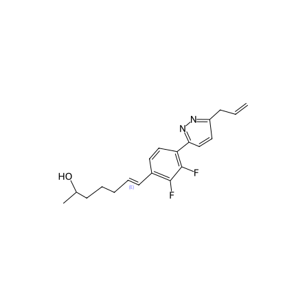 C=CCc1ccc(-c2ccc(/C=C/CCCC(C)O)c(F)c2F)nn1